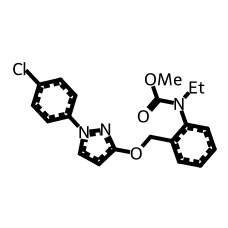 CCN(C(=O)OC)c1ccccc1COc1ccn(-c2ccc(Cl)cc2)n1